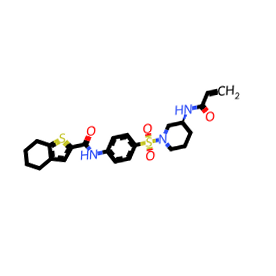 C=CC(=O)N[C@H]1CCCN(S(=O)(=O)c2ccc(NC(=O)c3cc4c(s3)CCCC4)cc2)C1